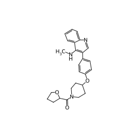 CNc1c(-c2ccc(OC3CCN(C(=O)C4CCCO4)CC3)cc2)cnc2ccccc12